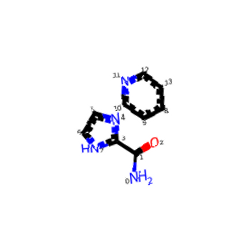 NC(=O)c1ncc[nH]1.c1ccncc1